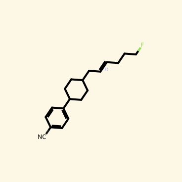 N#Cc1ccc(C2CCC(C/C=C/CCCF)CC2)cc1